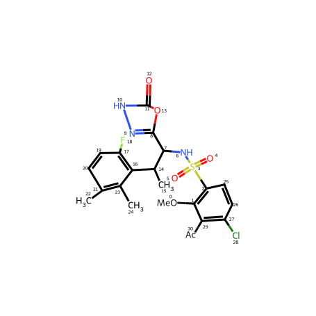 COc1c(S(=O)(=O)NC(c2n[nH]c(=O)o2)C(C)c2c(F)ccc(C)c2C)ccc(Cl)c1C(C)=O